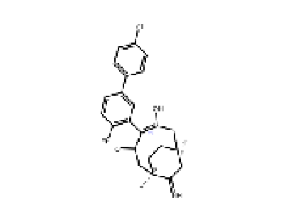 CCc1ccc(-c2ccc(Cl)cc2)cc1/C1=C(\O)C[C@@H]2CC[C@H](CC1=O)C(=N)C2